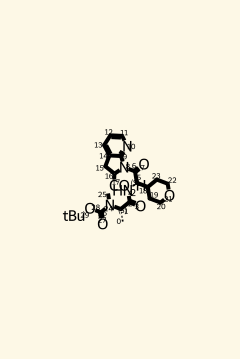 C[C@@H](C(=O)N[C@H](C(=O)N1c2ncccc2CC1C(=O)O)C1CCOCC1)N(C)C(=O)OC(C)(C)C